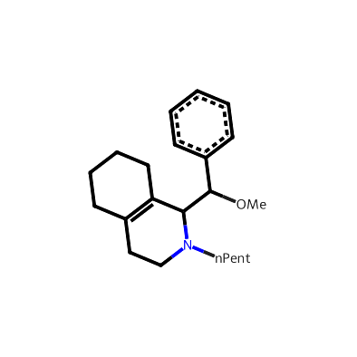 CCCCCN1CCC2=C(CCCC2)C1C(OC)c1ccccc1